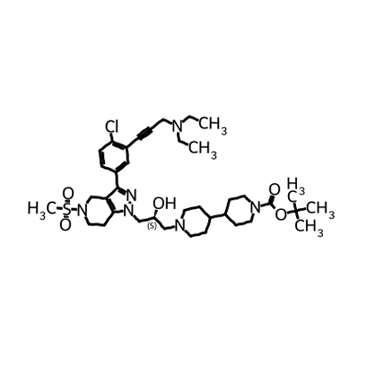 CCN(CC)CC#Cc1cc(-c2nn(C[C@@H](O)CN3CCC(C4CCN(C(=O)OC(C)(C)C)CC4)CC3)c3c2CN(S(C)(=O)=O)CC3)ccc1Cl